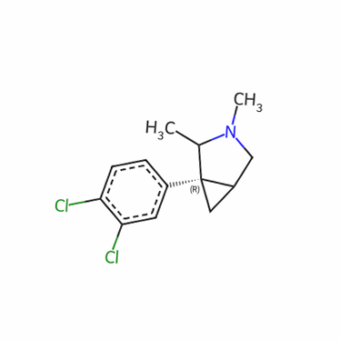 CC1N(C)CC2C[C@]21c1ccc(Cl)c(Cl)c1